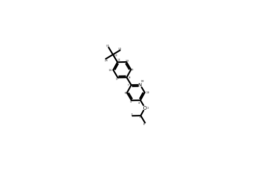 CC(C)Oc1ccc(-c2ccc(C(C)(C)C)cc2)nc1